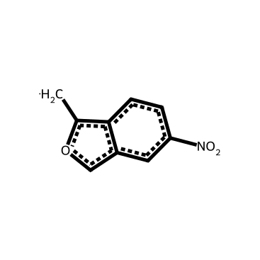 [CH2]c1occ2cc([N+](=O)[O-])ccc12